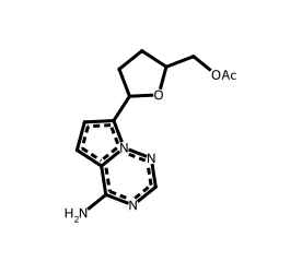 CC(=O)OCC1CCC(c2ccc3c(N)ncnn23)O1